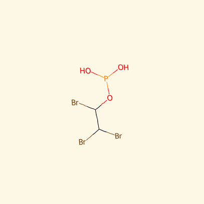 OP(O)OC(Br)C(Br)Br